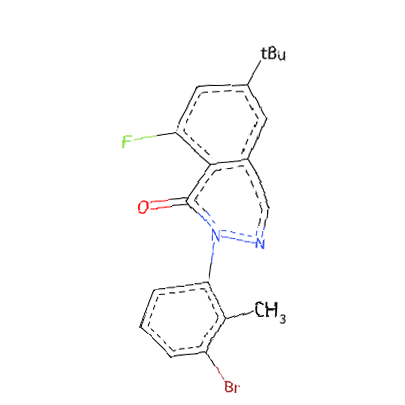 Cc1c(Br)cccc1-n1ncc2cc(C(C)(C)C)cc(F)c2c1=O